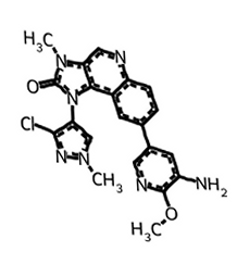 COc1ncc(-c2ccc3ncc4c(c3c2)n(-c2cn(C)nc2Cl)c(=O)n4C)cc1N